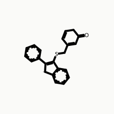 O=C1C=C(CSC2=C(c3ccccc3)[CH]c3ccccc32)C=CC1